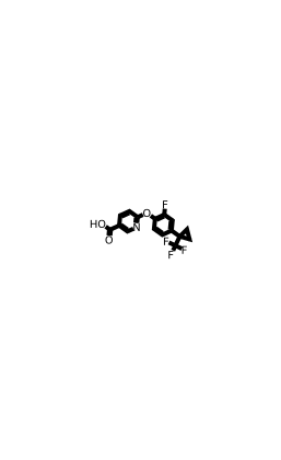 O=C(O)c1ccc(Oc2ccc(C3(C(F)(F)F)CC3)cc2F)nc1